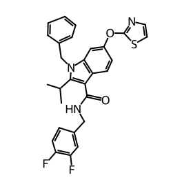 CC(C)c1c(C(=O)NCc2ccc(F)c(F)c2)c2ccc(Oc3nccs3)cc2n1Cc1ccccc1